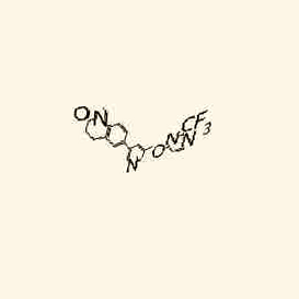 CN1C(=O)CCc2cc(-c3cncc(COc4ccnc(C(F)(F)F)n4)c3)ccc21